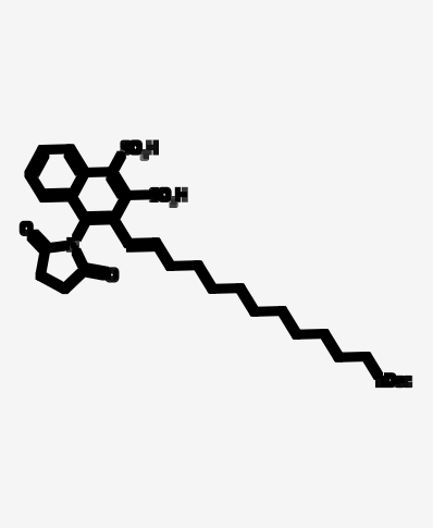 CCCCCCCCCCCCCCCCCCCC/C=C/c1c(S(=O)(=O)O)c(S(=O)(=O)O)c2ccccc2c1N1C(=O)CCC1=O